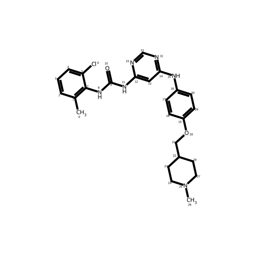 Cc1cccc(Cl)c1NC(=O)Nc1cc(Nc2ccc(OCC3CCN(C)CC3)cc2)ncn1